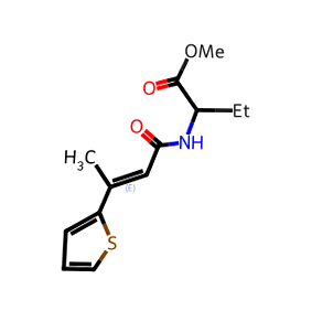 CCC(NC(=O)/C=C(\C)c1cccs1)C(=O)OC